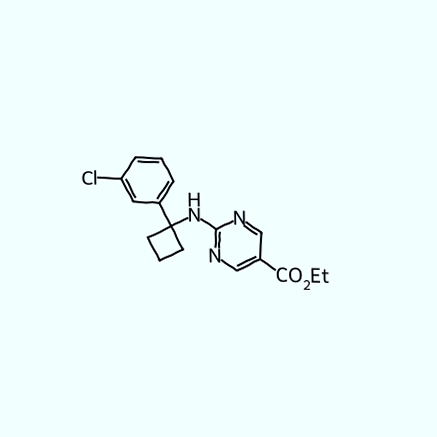 CCOC(=O)c1cnc(NC2(c3cccc(Cl)c3)CCC2)nc1